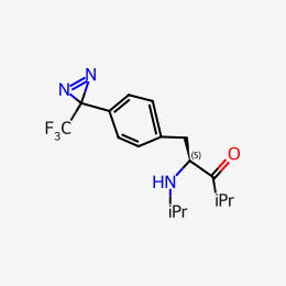 CC(C)N[C@@H](Cc1ccc(C2(C(F)(F)F)N=N2)cc1)C(=O)C(C)C